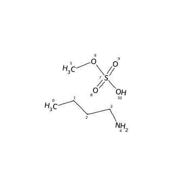 CCCCN.COS(=O)(=O)O